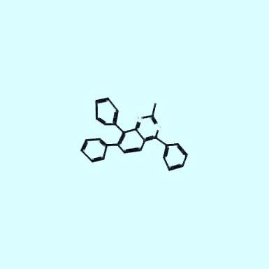 Cc1nc(-c2ccccc2)c2ccc(-c3ccccc3)c(-c3ccccc3)c2n1